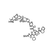 CN[C@@H](C)C(=O)N[C@H](C(=O)N1C[C@@H](NC(=O)c2cnc(N3CCN(CCOc4cc5ncnc(Nc6n[nH]c(C)c6C)c5cc4S(=O)(=O)C(C)(C)C)CC3)cn2)C[C@H]1C(=O)N[C@@H]1CCCc2ccccc21)C1CCCCC1